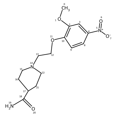 COc1cc([N+](=O)[O-])ccc1OCCN1CCC(C(N)=O)CC1